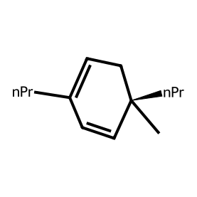 CCCC1=CC[C@@](C)(CCC)C=C1